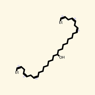 CC/C=C\C/C=C\C/C=C\CCCCCCCC(O)CCCCCCC/C=C\C/C=C\C/C=C\CC